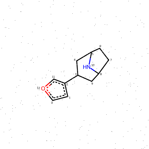 c1cc(C2CC3CCC(C2)N3)co1